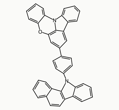 c1ccc2c(c1)Oc1cc(-c3ccc(-n4c5ccccc5c5ccc6ccccc6c54)cc3)cc3c4ccccc4n-2c13